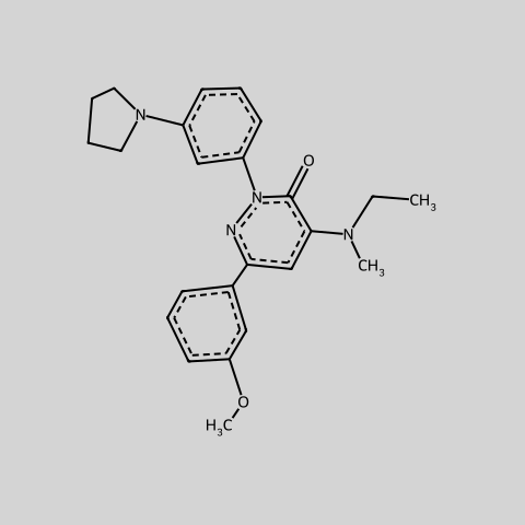 CCN(C)c1cc(-c2cccc(OC)c2)nn(-c2cccc(N3CCCC3)c2)c1=O